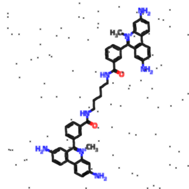 C[n+]1c(-c2cccc(C(=O)NCCCCCNC(=O)c3cccc(-c4c5cc(N)ccc5c5ccc(N)cc5[n+]4C)c3)c2)c2cc(N)ccc2c2ccc(N)cc21